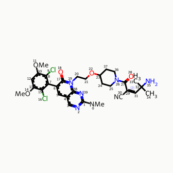 CNc1ncc2cc(-c3c(Cl)c(OC)cc(OC)c3Cl)c(=O)n(CCOC3CCN(C(=O)/C(C#N)=C\C(C)(C)N)CC3)c2n1